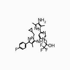 Cc1nn(-c2cc(Nc3c(C)c(-c4ccc(F)cc4)nn3CC3CC3)ncn2)c(C)c1N.O=C(O)C(F)(F)F